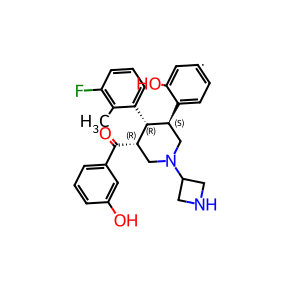 Cc1c(F)cccc1[C@H]1[C@@H](C(=O)c2cccc(O)c2)CN(C2CNC2)C[C@@H]1c1cc[c]cc1O